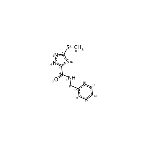 CSc1nnc(C(=O)NCc2ccccc2)s1